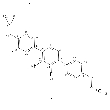 CCCc1ccc(-c2ccc(-c3ccc(CC4CC4)cc3)c(F)c2F)cc1